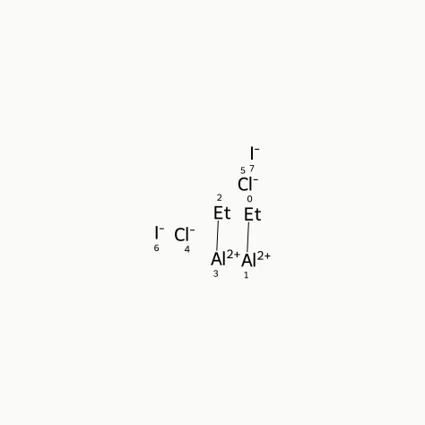 C[CH2][Al+2].C[CH2][Al+2].[Cl-].[Cl-].[I-].[I-]